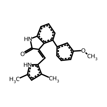 COc1cccc(-c2cccc3c2/C(=C/c2[nH]c(C)cc2C)C(=O)N3)c1